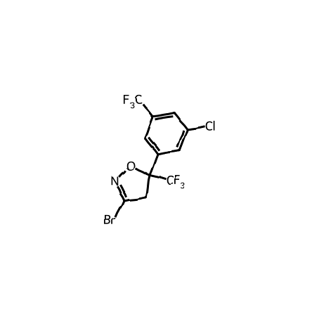 FC(F)(F)c1cc(Cl)cc(C2(C(F)(F)F)CC(Br)=NO2)c1